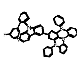 Fc1cc(F)cc(-c2ccccc2-n2c3ccccc3c3cc(-c4cc5c6c(c4)N(c4ccccc4)c4ccccc4B6c4ccccc4N5c4ccccc4)ccc32)c1